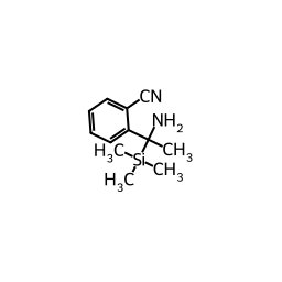 CC(N)(c1ccccc1C#N)[Si](C)(C)C